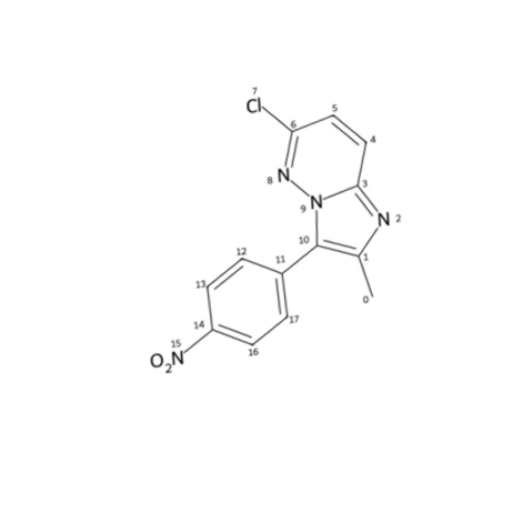 Cc1nc2ccc(Cl)nn2c1-c1ccc([N+](=O)[O-])cc1